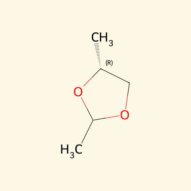 CC1OC[C@@H](C)O1